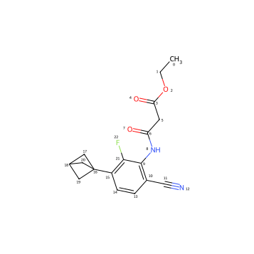 CCOC(=O)CC(=O)Nc1c(C#N)ccc(C23CC(C2)C3)c1F